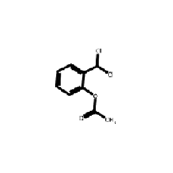 CC(=O)Oc1ccccc1C(Cl)Cl